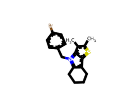 Cc1sc2c3c(n(Cc4ccc(Br)cc4)c2c1C)CCCC3